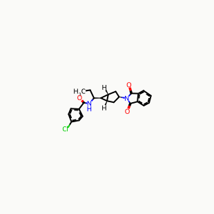 CCC(NC(=O)c1ccc(Cl)cc1)[C@H]1[C@@H]2C[C@@H](N3C(=O)c4ccccc4C3=O)C[C@@H]21